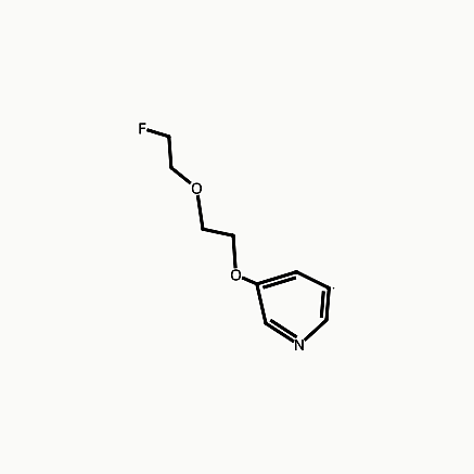 FCCOCCOc1c[c]cnc1